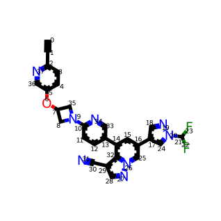 C#Cc1ccc(OC2CN(c3ccc(-c4cc(-c5cnn(C(F)F)c5)cn5ncc(C#N)c45)cn3)C2)cn1